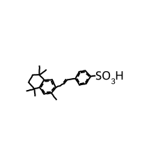 Cc1cc2c(cc1C=Cc1ccc(S(=O)(=O)O)cc1)C(C)(C)CCC2(C)C